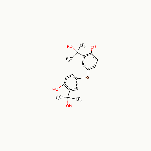 Oc1ccc(Sc2ccc(O)c(C(O)(C(F)(F)F)C(F)(F)F)c2)cc1C(O)(C(F)(F)F)C(F)(F)F